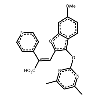 COc1ccc2c(Oc3nc(C)cc(C)n3)c(/C=C(/C(=O)O)c3ccncc3)oc2c1